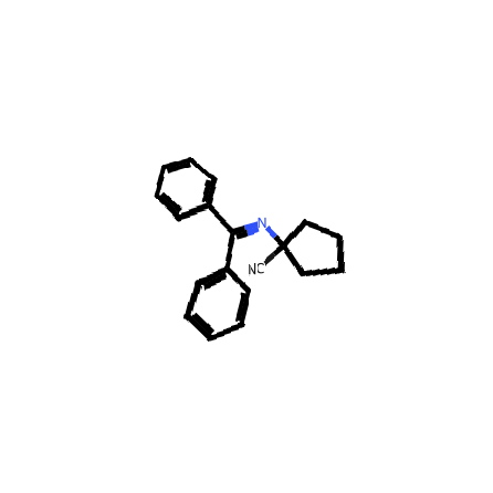 N#CC1(N=C(c2ccccc2)c2ccccc2)CCCC1